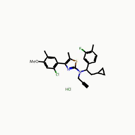 C#CCN(c1nc(-c2cc(C)c(OC)cc2Cl)c(C)s1)C(CC1CC1)c1ccc(C)c(F)c1.Cl